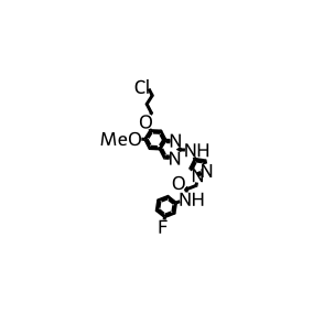 COc1cc2cnc(Nc3cnn(CC(=O)Nc4cccc(F)c4)c3)nc2cc1OCCCCl